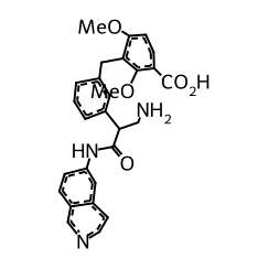 COc1ccc(C(=O)O)c(OC)c1Cc1cccc(C(CN)C(=O)Nc2ccc3cnccc3c2)c1